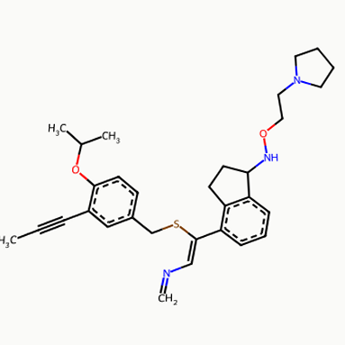 C=N/C=C(\SCc1ccc(OC(C)C)c(C#CC)c1)c1cccc2c1CCC2NOCCN1CCCC1